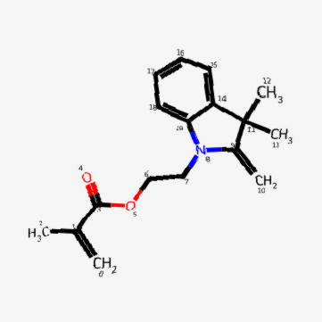 C=C(C)C(=O)OCCN1C(=C)C(C)(C)c2ccccc21